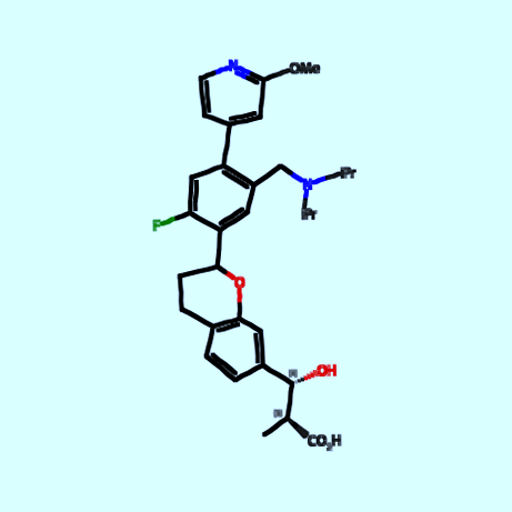 COc1cc(-c2cc(F)c(C3CCc4ccc([C@H](O)[C@H](C)C(=O)O)cc4O3)cc2CN(C(C)C)C(C)C)ccn1